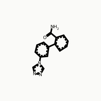 NC(=O)c1ccccc1-c1cccc(-n2cnnc2)c1